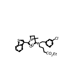 CCOC(=O)CCCN(Cc1cccc(Cl)c1)C(=O)C1(C)CCN1C(=O)c1csc2ccccc12